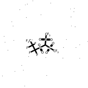 O=S(=O)(C(S(=O)(=O)C(F)(F)F)S(=O)(=O)C(F)(F)C(F)(F)C(F)(F)F)C(F)(F)F